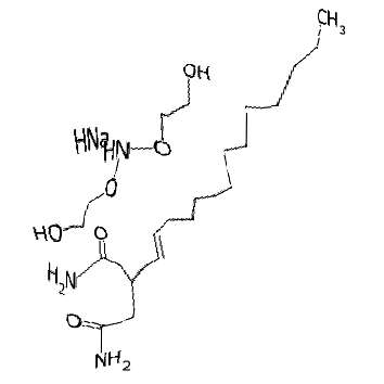 CCCCCCCCCCC=CC(CC(N)=O)C(N)=O.OCCONOCCO.[NaH]